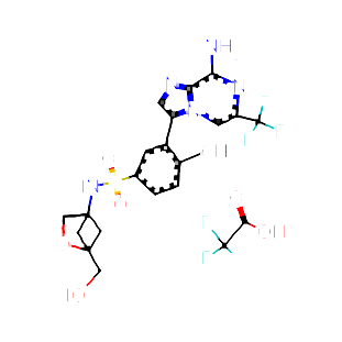 Cc1ccc(S(=O)(=O)NC23COC(CO)(C2)C3)cc1-c1cnc2c(N)nc(C(F)(F)F)cn12.O=C(O)C(F)(F)F